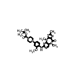 COc1cc(N2CCN(C(=O)OC(C)(C)C)CC2)ccc1Nc1ncc2c(n1)N(C)c1sc(C)nc1C(=O)N2C